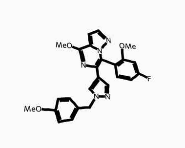 COc1ccc(Cn2cc(-c3nc(OC)c4ccnn4c3-c3ccc(F)cc3OC)cn2)cc1